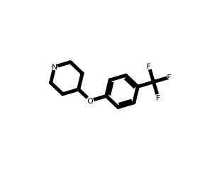 FC(F)(F)c1ccc(OC2CC[N]CC2)cc1